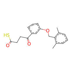 Cc1cccc(C)c1COc1cccc(C(=O)CCC(=O)S)c1